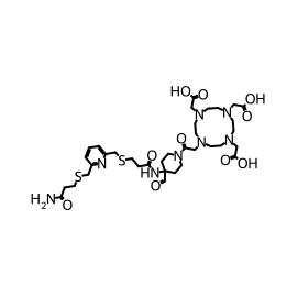 NC(=O)CCSCc1cccc(CSCCC(=O)NC2(C=O)CCN(C(=O)CN3CCN(CC(=O)O)CCN(CC(=O)O)CCN(CC(=O)O)CC3)CC2)n1